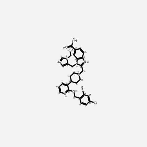 CCn1cncc1Cn1c(CN2CCC(c3cccnc3OCc3ccc(Cl)cc3F)CC2)nc2ccc(C(=O)O)cc21